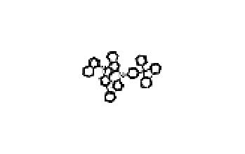 c1ccc(-c2ccc3c(c2)c2c(N(c4ccccc4)c4ccc(C5(c6ccccc6)c6ccccc6-c6ccccc65)cc4)cc4ccccc4c2n3-c2cccc3ccccc23)cc1